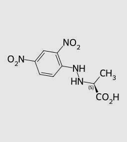 C[C@H](NNc1ccc([N+](=O)[O-])cc1[N+](=O)[O-])C(=O)O